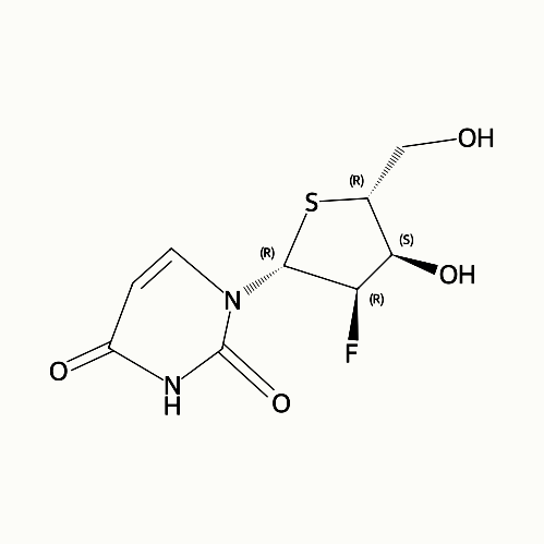 O=c1ccn([C@@H]2S[C@H](CO)[C@@H](O)[C@H]2F)c(=O)[nH]1